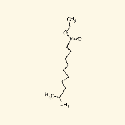 CCOC(=O)CCCCCCCCC(C)C